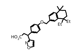 CCC1(CC)CCC(C)(C)c2ccc(COc3ccc(C(CC(=O)O)c4ccon4)cc3)cc21